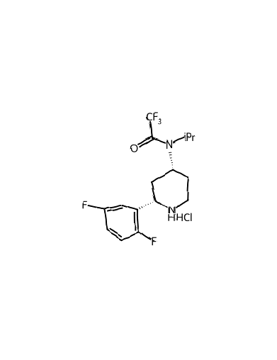 CC(C)N(C(=O)C(F)(F)F)[C@@H]1CCN[C@H](c2cc(F)ccc2F)C1.Cl